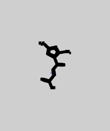 Cc1cc(C(=O)/C=C/C(=O)O)c(C)o1